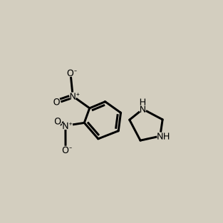 C1CNCN1.O=[N+]([O-])c1ccccc1[N+](=O)[O-]